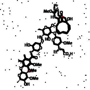 CCN(CC(=O)O)[C@H]1CO[C@@H](O[C@H]2[C@H](O[C@H]3C#C/C=C/C#C[C@]4(O)CC(=O)C(NC(=O)OC)=C3/C4=C\CSSC(C)C)O[C@H](C)[C@@H](NO[C@H]3C[C@H](O)[C@H](SC(=O)c4c(C)c(I)c(O[C@@H]5O[C@@H](C)[C@H](O)[C@@H](OC)[C@H]5O)c(OC)c4OC)[C@@H](C)O3)[C@@H]2O)C[C@@H]1OC